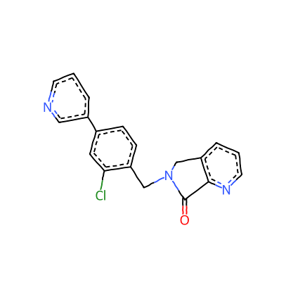 O=C1c2ncccc2CN1Cc1ccc(-c2cccnc2)cc1Cl